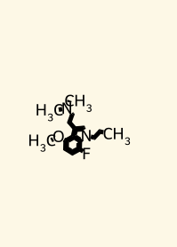 CCCn1cc(CCN(C)C)c2c(OC)ccc(F)c21